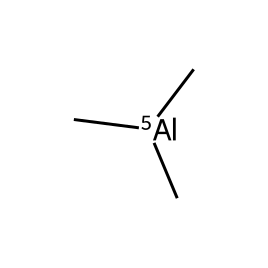 [CH3][5Al]([CH3])[CH3]